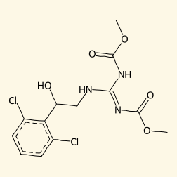 COC(=O)N=C(NCC(O)c1c(Cl)cccc1Cl)NC(=O)OC